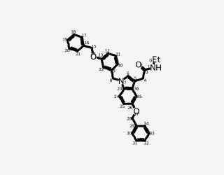 CCNC(=O)Cc1cn(Cc2cccc(OCc3ccccc3)c2)c2ccc(OCc3ccccc3)cc12